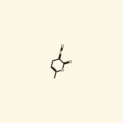 CC1=CCC(=C=O)C(=O)O1